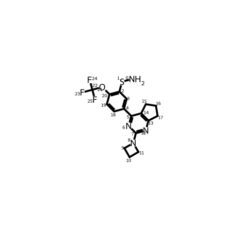 NSc1cc(-c2nc(N3CCC3)nc3c2CCC3)ccc1OC(F)(F)F